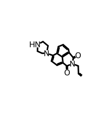 C=CCN1C(=O)c2cccc3c(N4CCNCC4)ccc(c23)C1=O